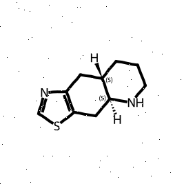 c1nc2c(s1)C[C@@H]1NCCC[C@H]1C2